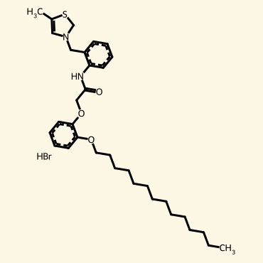 Br.CCCCCCCCCCCCCCOc1ccccc1OCC(=O)Nc1ccccc1CN1C=C(C)SC1